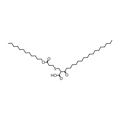 CCCCCCCCCCCCCCCCCC(=O)C(CSCCC(=O)OCCCCCCCCCCCC)C(=O)O